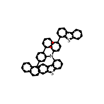 c1ccc(-c2ccc(-c3cccc4ccccc34)cc2N(c2ccc(-c3cccc4c3sc3ccccc34)cc2)c2cccc3sc4ccccc4c23)cc1